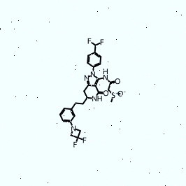 C[S+]([O-])CC(=O)Nc1c2c(nn1-c1ccc(C(F)F)cc1)CC(CCc1cccc(N3CC(F)(F)C3)c1)NC2=O